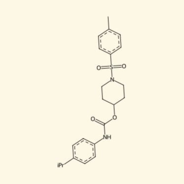 Cc1ccc(S(=O)(=O)N2CCC(OC(=O)Nc3ccc(C(C)C)cc3)CC2)cc1